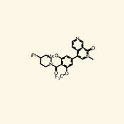 COc1cc(-c2cn(C)c(=O)c3cnccc23)cc(OC(F)(F)F)c1C(=O)N1CCC(C(C)C)CC1